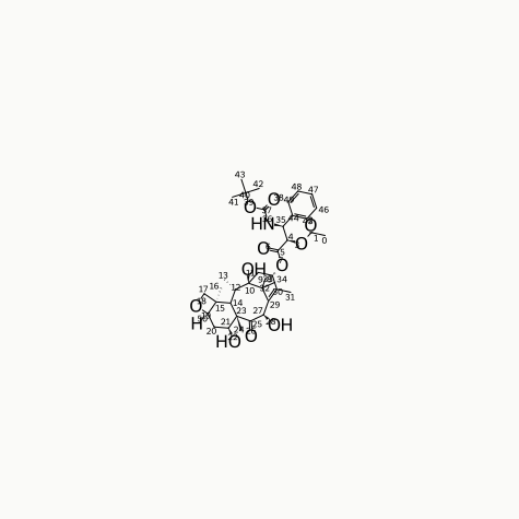 CC(=O)O[C@@H](C(=O)O[C@H]1C[C@@]2(O)[C@@H](C)C3[C@]4(C)CO[C@@H]4C[C@H](O)[C@@]3(C)C(=O)[C@H](O)C(=C1C)C2(C)C)[C@@H](NC(=O)OC(C)(C)C)c1ccccc1